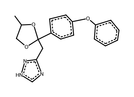 CC1COC(Cc2nc[nH]n2)(c2ccc(Oc3ccccc3)cc2)O1